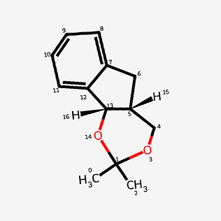 CC1(C)OC[C@H]2Cc3ccccc3[C@H]2O1